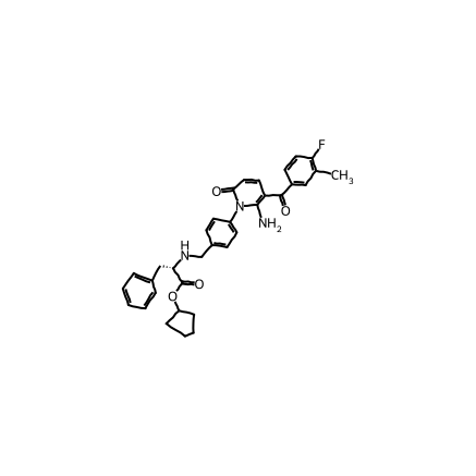 Cc1cc(C(=O)c2ccc(=O)n(-c3ccc(CN[C@@H](Cc4ccccc4)C(=O)OC4CCCC4)cc3)c2N)ccc1F